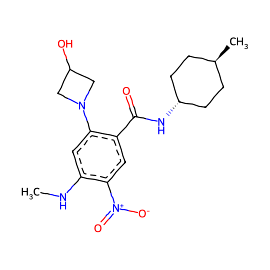 CNc1cc(N2CC(O)C2)c(C(=O)N[C@H]2CC[C@H](C)CC2)cc1[N+](=O)[O-]